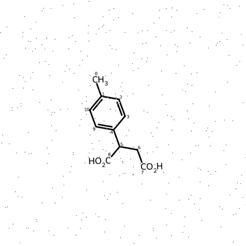 Cc1ccc(C(CC(=O)O)C(=O)O)cc1